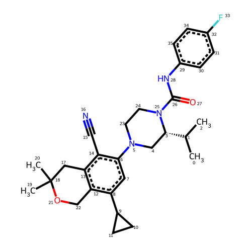 CC(C)[C@@H]1CN(c2cc(C3CC3)c3c(c2C#N)CC(C)(C)OC3)CCN1C(=O)Nc1ccc(F)cc1